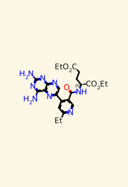 CCOC(=O)CC[C@H](NC(=O)c1cnc(CC)cc1-c1cnc2nc(N)nc(N)c2n1)C(=O)OCC